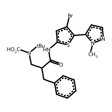 Cn1nccc1-c1sc(NC(=O)C(Cc2ccccc2)CN(C(=O)O)C(C)(C)C)cc1Br